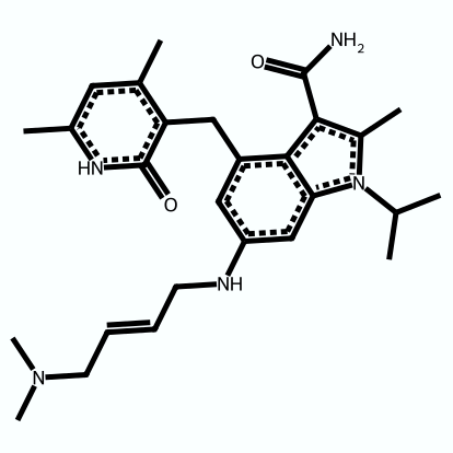 Cc1cc(C)c(Cc2cc(NCC=CCN(C)C)cc3c2c(C(N)=O)c(C)n3C(C)C)c(=O)[nH]1